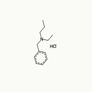 CCCN(CC)Cc1ccccc1.Cl